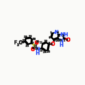 O=c1[nH]c2nccc(Oc3ccc(NS(=O)(=O)c4cccc(C(F)(F)F)c4)cc3)c2[nH]1